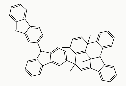 CC1C=CC2(C)C3=C1C(C)(c1ccc4c(c1)c1ccccc1n4-c1ccc4c(c1)sc1ccccc14)C=C1c4ccccc4N(c4ccccc42)C13C